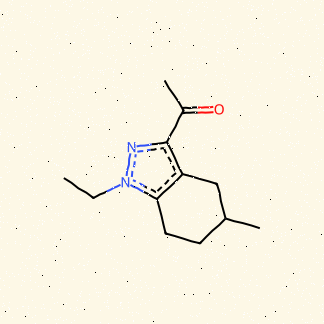 CCn1nc(C(C)=O)c2c1CCC(C)C2